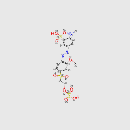 CNc1ccc(N=Nc2ccc(S(=O)(=O)CCOS(=O)(=O)O)cc2OC)cc1S(=O)(=O)O